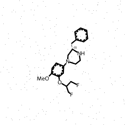 COc1ccc(N2CCN[C@@H](Cc3ccccc3)C2)cc1OC(CF)CF